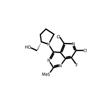 CSc1nc(N2CCC[C@H]2CO)c2c(Cl)nc(Cl)c(F)c2n1